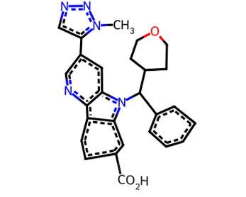 Cn1nncc1-c1cnc2c3ccc(C(=O)O)cc3n(C(c3ccccc3)C3CCOCC3)c2c1